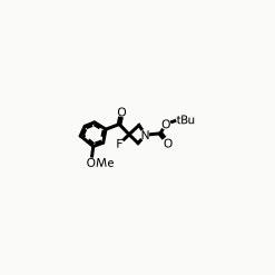 COc1cccc(C(=O)C2(F)CN(C(=O)OC(C)(C)C)C2)c1